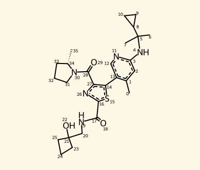 Cc1cc(NC(C)(C)C2CC2)ncc1-c1sc(C(=O)NCC2(O)CCC2)nc1C(=O)N1CCC[C@@H]1C